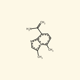 C=C(N)c1ccc(C)n2c(C)cnc12